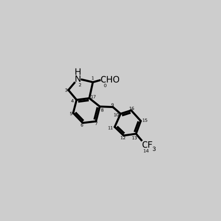 O=CC1NCc2cccc(Cc3ccc(C(F)(F)F)cc3)c21